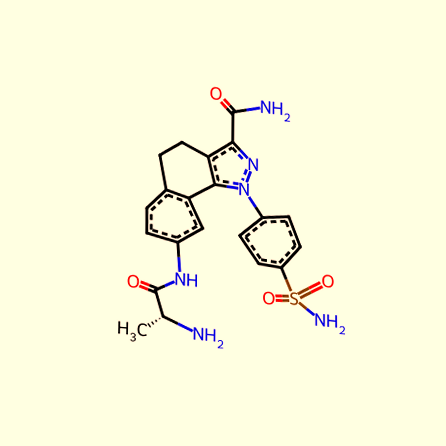 C[C@@H](N)C(=O)Nc1ccc2c(c1)-c1c(c(C(N)=O)nn1-c1ccc(S(N)(=O)=O)cc1)CC2